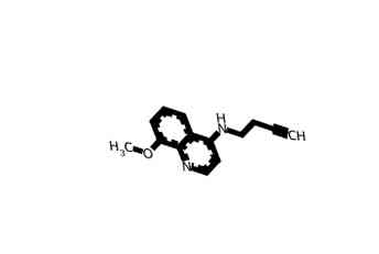 C#CCCNc1ccnc2c(OC)cccc12